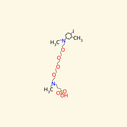 CCN(CCCS(=O)(=O)O)CCOCCOCCOCCOCCN(CC)c1ccc(I)c(C)c1